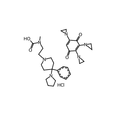 CN(CCN1CCC(c2ccccc2)(N2CCCC2)CC1)C(=O)O.Cl.O=C1C=C(N2CC2)C(=O)C(N2CC2)=C1N1CC1